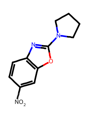 O=[N+]([O-])c1ccc2nc(N3CCCC3)oc2c1